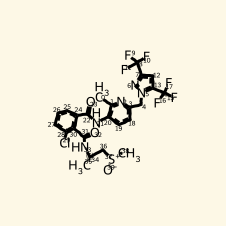 Cc1nc(Cn2nc(C(F)(F)F)cc2C(F)(F)F)ccc1NC(=O)c1cccc(Cl)c1C(=O)N[C@@H](C)C[S+](C)[O-]